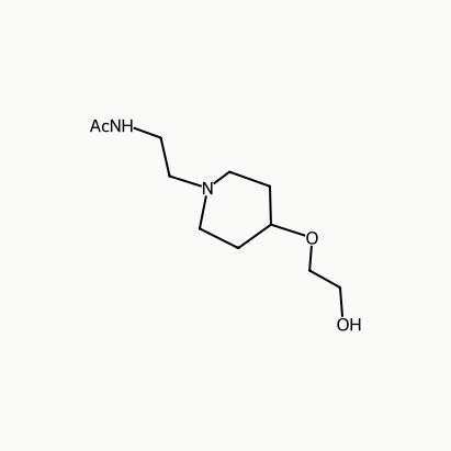 CC(=O)NCCN1CCC(OCCO)CC1